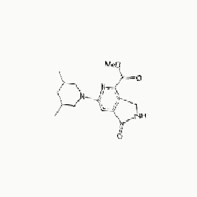 COC(=O)c1nc(N2CC(C)CC(C)C2)cc2c1CNC2=O